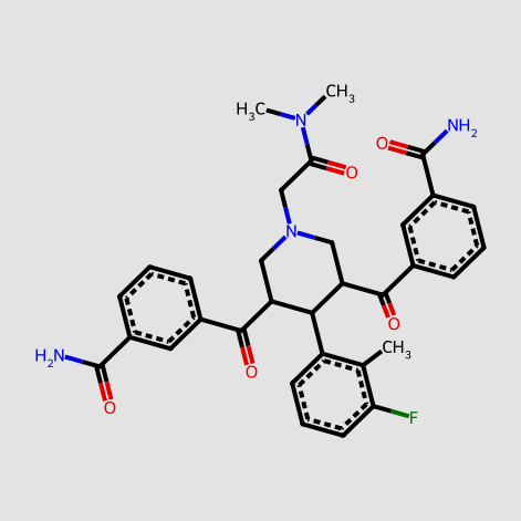 Cc1c(F)cccc1C1C(C(=O)c2cccc(C(N)=O)c2)CN(CC(=O)N(C)C)CC1C(=O)c1cccc(C(N)=O)c1